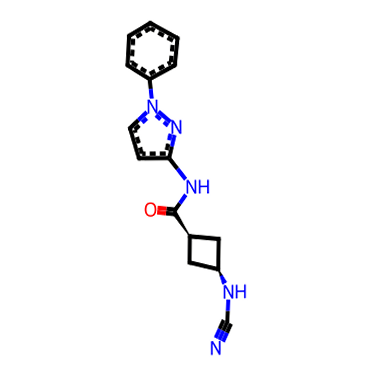 N#CN[C@H]1C[C@@H](C(=O)Nc2ccn(-c3ccccc3)n2)C1